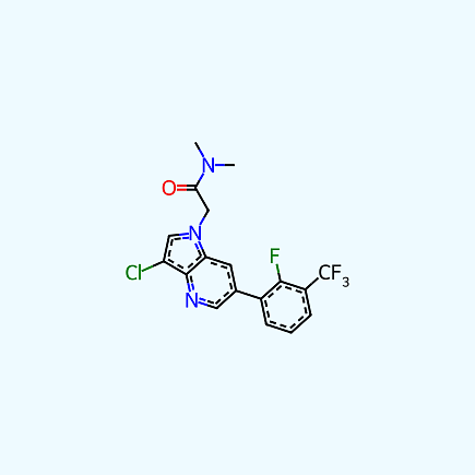 CN(C)C(=O)Cn1cc(Cl)c2ncc(-c3cccc(C(F)(F)F)c3F)cc21